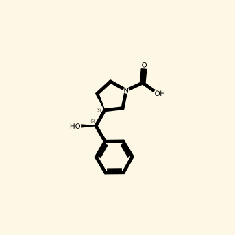 O=C(O)N1CC[C@H]([C@H](O)c2ccccc2)C1